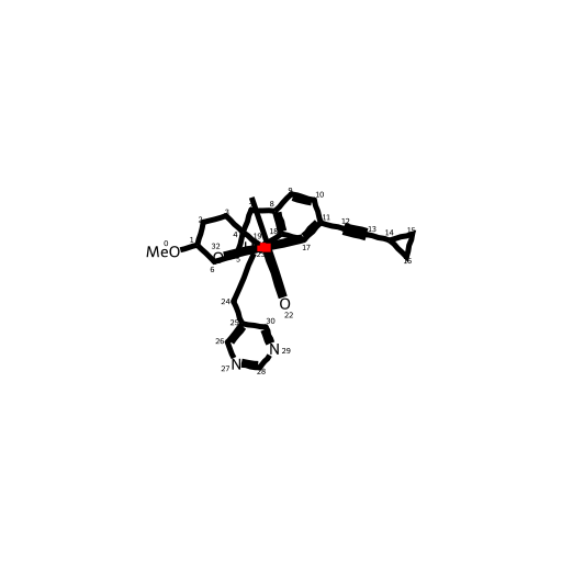 COC1CCC2(CC1)Cc1ccc(C#CC3CC3)cc1C21NC(=O)N(Cc2cncnc2)C1=O